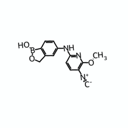 [C-]#[N+]c1ccc(Nc2ccc3c(c2)COB3O)nc1OC